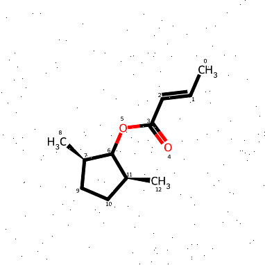 C/C=C/C(=O)OC1[C@H](C)CC[C@@H]1C